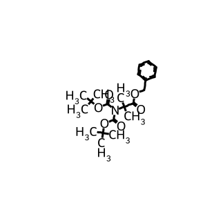 CC(C)(C)OC(=O)N(C(=O)OC(C)(C)C)C(C)(C)C(=O)OCc1ccccc1